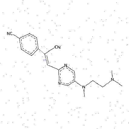 CN(C)CCN(C)c1cnc(/C=C(\C#N)c2ccc(C#N)cc2)nc1